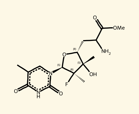 COC(=O)C(N)C[C@H]1O[C@H](n2cc(C)c(=O)[nH]c2=O)[C@](C)(F)[C@@]1(C)O